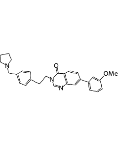 COc1cccc(-c2ccc3c(=O)n(CCc4ccc(CN5CCCC5)cc4)cnc3c2)c1